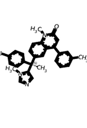 Cc1cccc(-c2cc(=O)n(C)c3ccc([C@](C)(c4ccc(Cl)cc4)c4cncn4C)cc23)c1